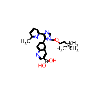 Cc1cccc(-c2ncn(COCC[Si](C)(C)C)c2-c2ccc3ncc(B(O)O)cc3c2)n1